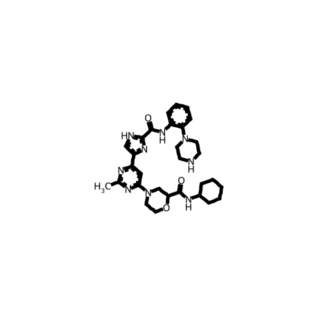 Cc1nc(-c2c[nH]c(C(=O)Nc3ccccc3N3CCNCC3)n2)cc(N2CCOC(C(=O)NC3CCCCC3)C2)n1